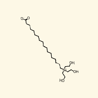 O=C([O-])CCCCCCCCCCCCCCCCC[N+](CCO)(CCO)CCO